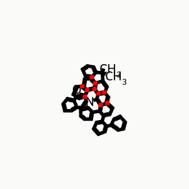 CC1(C)c2ccccc2-c2c(-c3ccccc3N(c3ccccc3-c3ccccc3-c3ccccc3-c3ccccc3)c3ccccc3-c3cccc4oc5c6ccccc6ccc5c34)cccc21